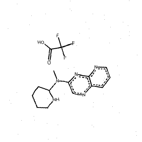 CN(c1cnc2cccnc2n1)C1CCCCN1.O=C(O)C(F)(F)F